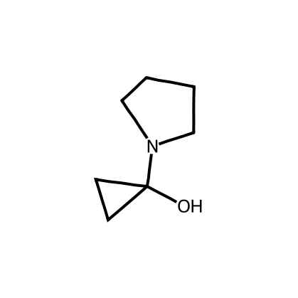 OC1(N2CCCC2)CC1